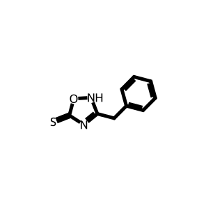 S=c1nc(Cc2ccccc2)[nH]o1